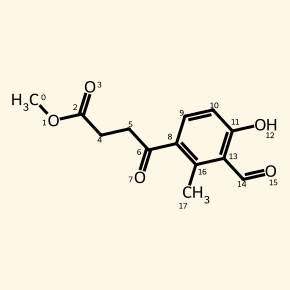 COC(=O)CCC(=O)c1ccc(O)c(C=O)c1C